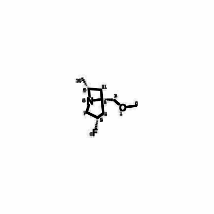 COC[C@]12C[C@H](F)CN1[C@H](C)C2